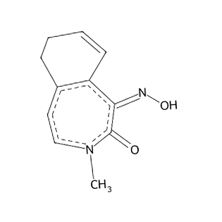 Cn1ccc2c(c(=NO)c1=O)C=CCC2